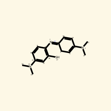 CN(C)C1=CC/C(=N\c2ccc(N(C)C)cc2S)C=C1